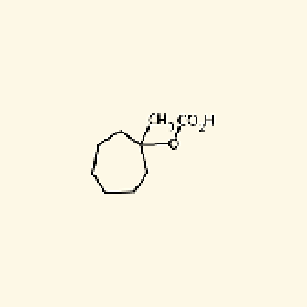 CC1(OC(=O)O)CCCCCC1